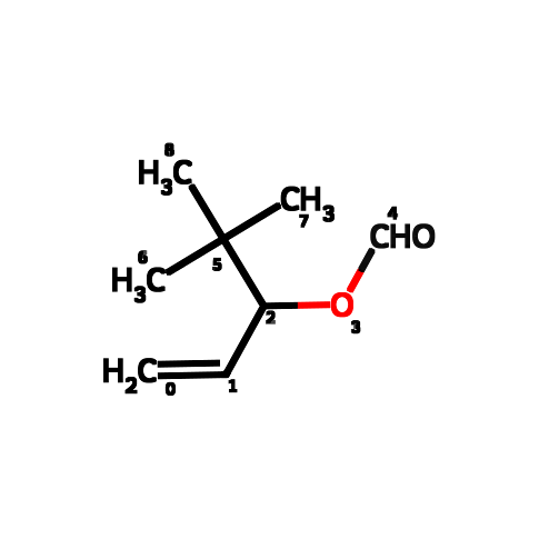 C=CC(OC=O)C(C)(C)C